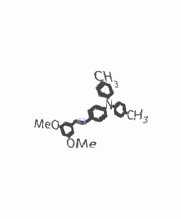 COc1cc(/C=C/c2ccc(N(c3ccc(C)cc3)c3ccc(C)cc3)cc2)cc(OC)c1